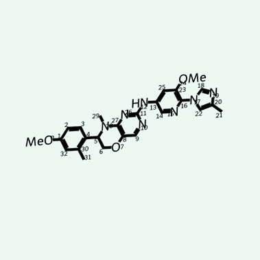 COc1ccc(C2COc3cnc(Nc4cnc(-n5cnc(C)c5)c(OC)c4)nc3N2C)c(C)c1